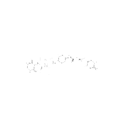 C=C(Nc1c(C)cccc1Cl)N1CCN(c2ccc(NC(=O)CNCc3ccc(Cl)cc3)cc2)CC1